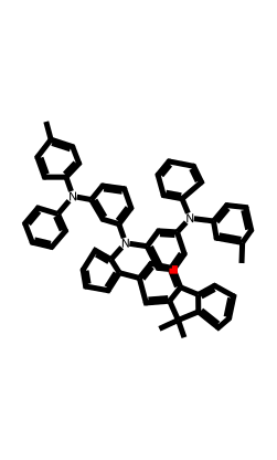 Cc1ccc(N(c2ccccc2)c2cccc(N(c3cccc(N(c4ccccc4)c4cccc(C)c4)c3)c3ccccc3-c3ccc4c(c3)C(C)(C)c3ccccc3-4)c2)cc1